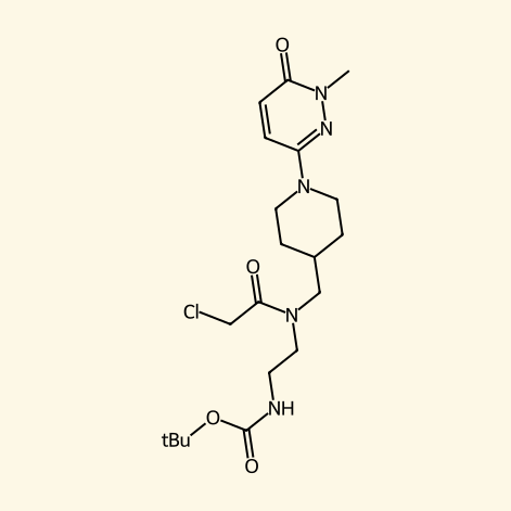 Cn1nc(N2CCC(CN(CCNC(=O)OC(C)(C)C)C(=O)CCl)CC2)ccc1=O